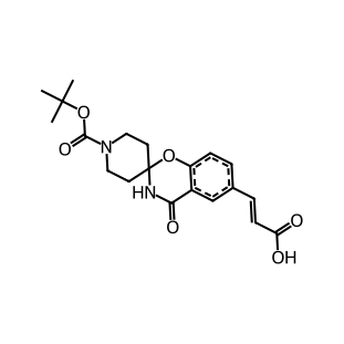 CC(C)(C)OC(=O)N1CCC2(CC1)NC(=O)c1cc(C=CC(=O)O)ccc1O2